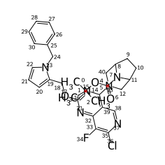 CC(C)(C)OC(=O)N1C2CCC1CN(c1nc(OCc3cccn3Cc3ccccc3)nc3c(F)c(Cl)ncc13)C2